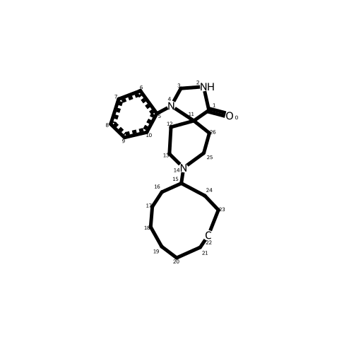 O=C1NCN(c2ccccc2)C12CCN(C1CCCCCCCCC1)CC2